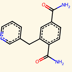 NC(=O)c1ccc(C(N)=O)c(Cc2cccnc2)c1